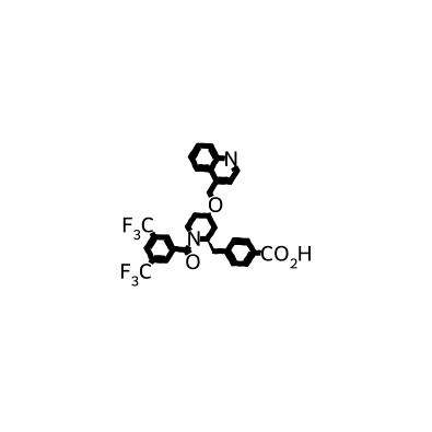 O=C(O)c1ccc(C[C@@H]2C[C@@H](OCc3ccnc4ccccc34)CCN2C(=O)c2cc(C(F)(F)F)cc(C(F)(F)F)c2)cc1